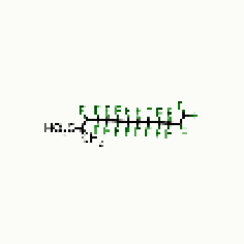 C=C(C(=O)O)C(F)C(F)(F)C(F)(F)C(F)(F)C(F)(F)C(F)(F)C(F)(F)C(F)(F)C(F)(F)C(F)C(F)F